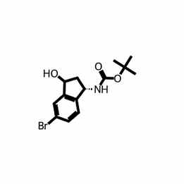 CC(C)(C)OC(=O)N[C@H]1CC(O)c2cc(Br)ccc21